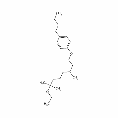 CCOC(C)(C)CCCC(C)CCOc1ccc(CSCC)cc1